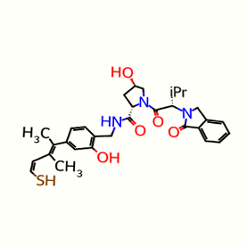 CC(/C=C\S)=C(/C)c1ccc(CNC(=O)[C@@H]2C[C@@H](O)CN2C(=O)[C@H](C(C)C)N2Cc3ccccc3C2=O)c(O)c1